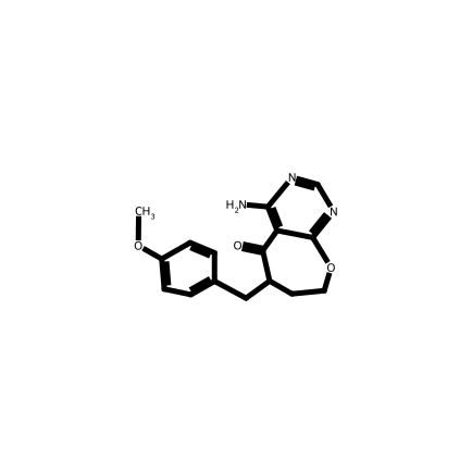 COc1ccc(CC2CCOc3ncnc(N)c3C2=O)cc1